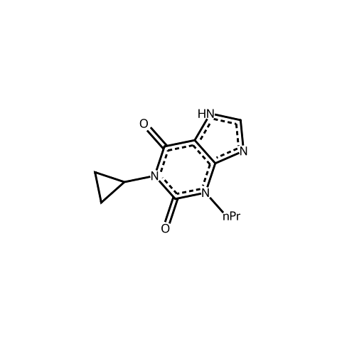 CCCn1c(=O)n(C2CC2)c(=O)c2[nH]cnc21